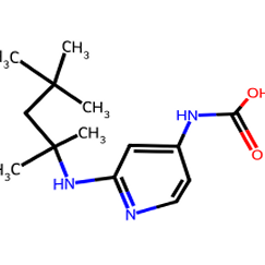 CC(C)(C)CC(C)(C)Nc1cc(NC(=O)O)ccn1